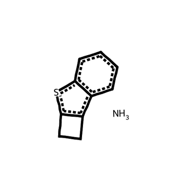 N.c1ccc2c3c(sc2c1)CC3